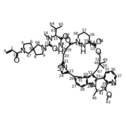 C=CC(=O)N1CC[C@@]2(CCN(C(=O)N(C)C(C(=O)N[C@H]3Cc4nc(cs4)-c4ccc5c(c4)c(c(-c4cccnc4[C@H](C)OC)n5CC)CC(C)(C)COC(=O)[C@@H]4CCCN(N4)C3=O)C(C)C)C2)C1